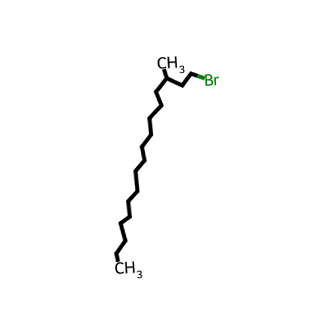 CCCCCCCCCCCCCCC(C)CCBr